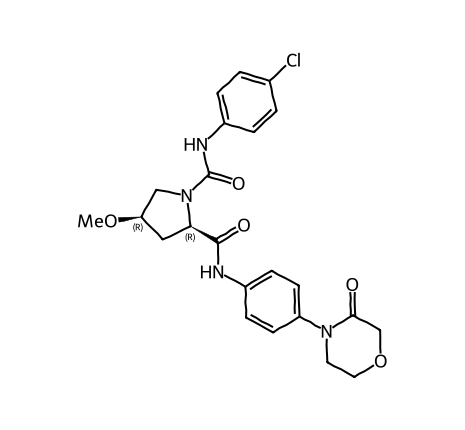 CO[C@@H]1C[C@H](C(=O)Nc2ccc(N3CCOCC3=O)cc2)N(C(=O)Nc2ccc(Cl)cc2)C1